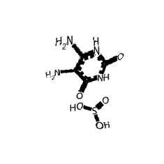 Nc1[nH]c(=O)[nH]c(=O)c1N.O=S(O)O